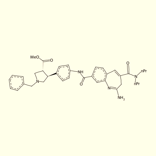 CCCN(CCC)C(=O)C1=Cc2ccc(C(=O)Nc3ccc([C@H]4CN(Cc5ccccc5)C[C@@H]4C(=O)OC)cc3)cc2N=C(N)C1